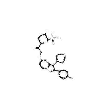 NS(=O)(=O)c1cc(C(=O)COc2ccn3nc(-c4ccc(F)cc4)c(-c4ccncc4)c3c2)ccc1Cl